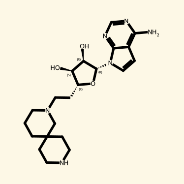 Nc1ncnc2c1ccn2[C@@H]1O[C@H](CCN2CCCC3(CCNCC3)C2)[C@@H](O)[C@H]1O